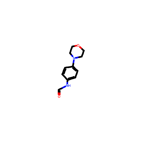 O=CNc1ccc(N2CCOCC2)cc1